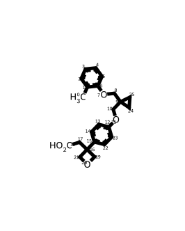 Cc1ccccc1OCC1(COc2ccc(C3(CC(=O)O)COC3)cc2)CC1